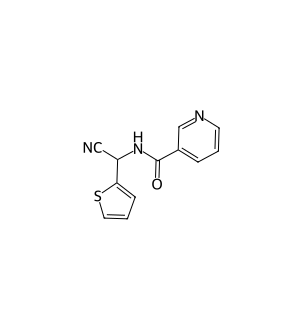 N#CC(NC(=O)c1cccnc1)c1cccs1